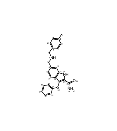 Cc1ccc(CNCc2ccc3c(Sc4ccccc4)c(C(N)=O)[nH]c3c2)cc1